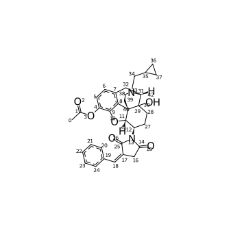 CC(=O)Oc1ccc2c3c1O[C@H]1[C@H](N4C(=O)CC(=Cc5ccccc5)C4=O)CCC4(O)[C@@H](C2)N(CC2CC2)CC[C@]314